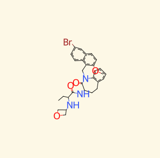 CCC(NC1COC1)C(=O)NC1CCc2ccccc2N(Cc2c(OC)ccc3cc(Br)ccc23)C1=O